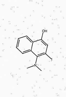 CN(C)c1c(I)cc(O)c2ccccc12